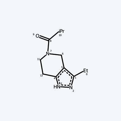 CCc1n[nH]c2c1CN(C(=O)C(C)C)CC2